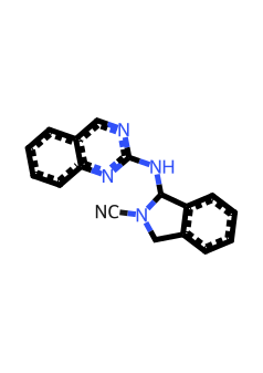 N#CN1Cc2ccccc2C1Nc1ncc2ccccc2n1